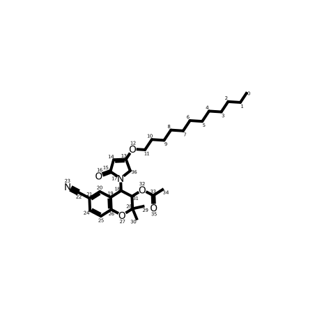 CCCCCCCCCCCCOC1=CC(=O)N(C2c3cc(C#N)ccc3OC(C)(C)C2OC(C)=O)C1